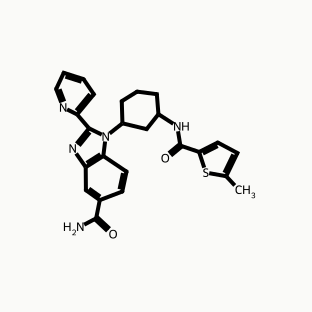 Cc1ccc(C(=O)NC2CCCC(n3c(-c4ccccn4)nc4cc(C(N)=O)ccc43)C2)s1